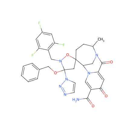 CC1CCC2(CC(OCc3ccccc3)(n3ccnn3)N(Cc3c(F)cc(F)cc3F)O2)C2CN1C(=O)c1cc(=O)c(C(N)=O)cn12